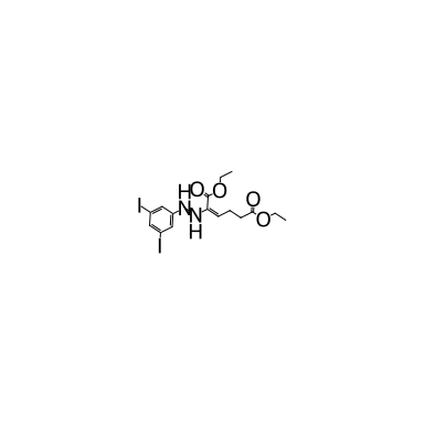 CCOC(=O)CC/C=C(/NNc1cc(I)cc(I)c1)C(=O)OCC